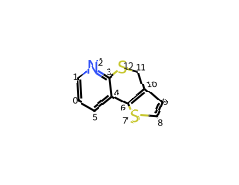 c1cnc2c(c1)-c1sccc1CS2